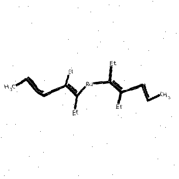 C/C=C/C(CC)=[C](\CC)[Ru]/[C](CC)=C(/C=C/C)CC